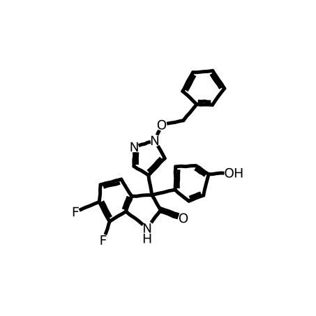 O=C1Nc2c(ccc(F)c2F)C1(c1ccc(O)cc1)c1cnn(OCc2ccccc2)c1